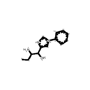 CCC(N)C(O)c1cn(-c2ccccc2)cn1